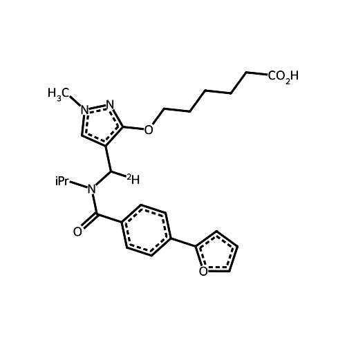 [2H]C(c1cn(C)nc1OCCCCCC(=O)O)N(C(=O)c1ccc(-c2ccco2)cc1)C(C)C